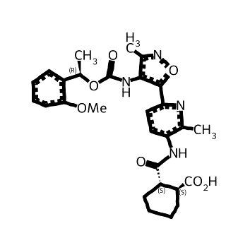 COc1ccccc1[C@@H](C)OC(=O)Nc1c(C)noc1-c1ccc(NC(=O)[C@H]2CCCC[C@@H]2C(=O)O)c(C)n1